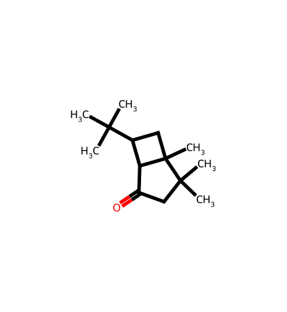 CC(C)(C)C1CC2(C)C1C(=O)CC2(C)C